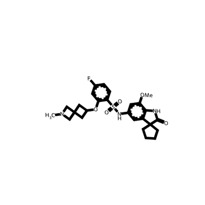 COc1cc(NS(=O)(=O)c2ccc(F)cc2OC2CC3(C2)CN(C)C3)cc2c1NC(=O)C21CCCC1